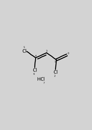 C=C(Cl)C=C(Cl)Cl.Cl